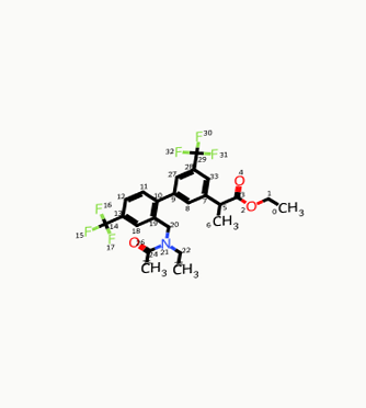 CCOC(=O)C(C)c1cc(-c2ccc(C(F)(F)F)cc2CN(CC)C(C)=O)cc(C(F)(F)F)c1